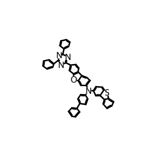 c1ccc(-c2ccc(N(c3ccc4c(c3)oc3cc(-c5nc(-c6ccccc6)nc(-c6ccccc6)n5)ccc34)c3ccc4sc5ccccc5c4c3)cc2)cc1